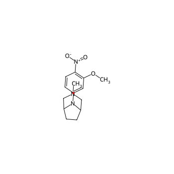 COc1cc(N2C3CCC2CN(C)C3)ccc1[N+](=O)[O-]